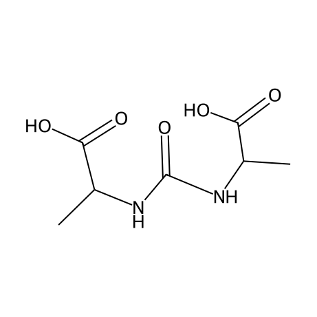 CC(NC(=O)NC(C)C(=O)O)C(=O)O